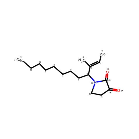 CCCC=C(C)C(CCCCCCCCCCCCCCCCC)N1CCC(=O)C1=O